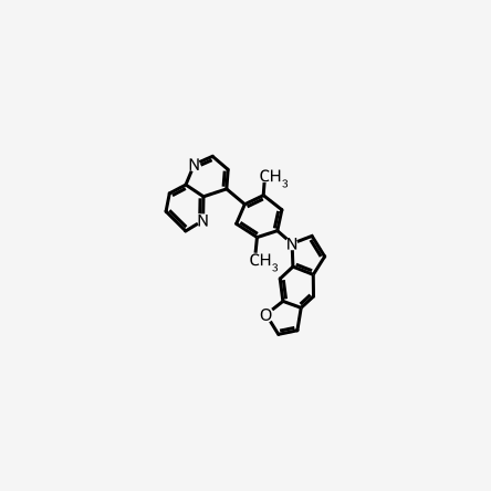 Cc1cc(-n2ccc3cc4ccoc4cc32)c(C)cc1-c1ccnc2cccnc12